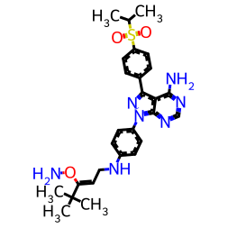 CC(C)S(=O)(=O)c1ccc(-c2nn(-c3ccc(NC/C=C(\ON)C(C)(C)C)cc3)c3ncnc(N)c23)cc1